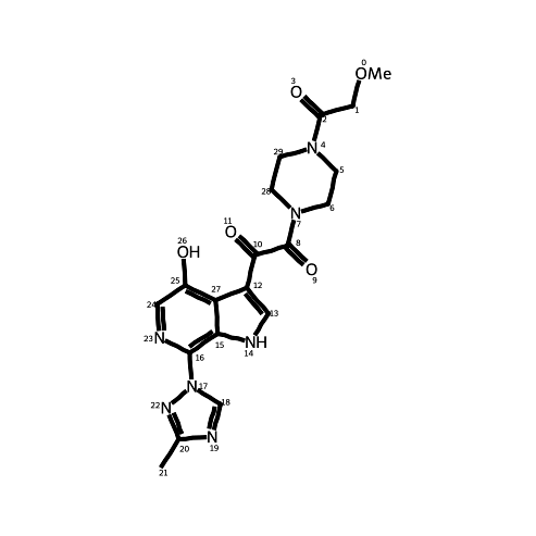 COCC(=O)N1CCN(C(=O)C(=O)c2c[nH]c3c(-n4cnc(C)n4)ncc(O)c23)CC1